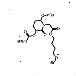 CCCCCC(=O)ON1CCC(OCCCC)N(CC(=O)OCCCCOCCCC)C1=O